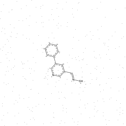 ON=Cc1cncc(-c2ccccc2)c1